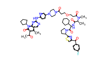 CC(=O)c1c(C)c2cnc(Nc3ccc(N4CCN(C(=O)CCOCCC(=O)N(C)C(C)C(=O)N[C@H](C(=O)N5CCCC5c5nc(C(=O)c6ccc(F)cc6)cs5)C5CCCCC5)CC4)cn3)nc2n(C2CCCC2)c1=O